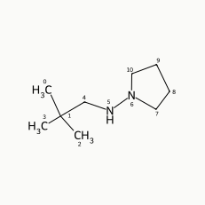 CC(C)(C)CNN1CCCC1